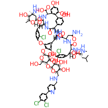 CN[C@H](CC(C)C)C(=O)NC1C(=O)NC(CC(N)=O)C(=O)N[C@H]2C(=O)N[C@H]3C(=O)N[C@H](C(=O)NC(C(=O)O)c4cc(O)cc(O)c4-c4cc3ccc4O)[C@H](O[C@H]3C[C@](C)(N)[C@@H](O)[C@H](C)O3)c3ccc(c(Cl)c3)Oc3cc2cc(c3O[C@@H]2O[C@H](CO)[C@@H](O[C@@H]3O[C@H](CNCc4ccc(-c5ccc(Cl)c(Cl)c5)nc4)[C@H](O)[C@H](O)[C@H]3O)[C@H](O)[C@H]2O)Oc2ccc(cc2Cl)[C@H]1O